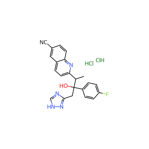 CC(c1ccc2cc(C#N)ccc2n1)C(O)(Cc1nc[nH]n1)c1ccc(F)cc1.Cl.Cl